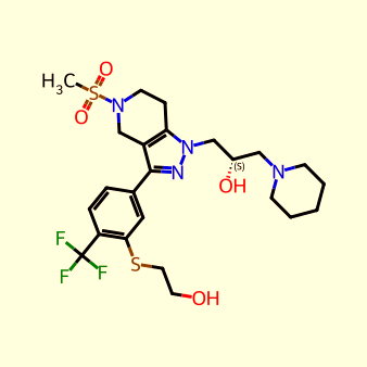 CS(=O)(=O)N1CCc2c(c(-c3ccc(C(F)(F)F)c(SCCO)c3)nn2C[C@@H](O)CN2CCCCC2)C1